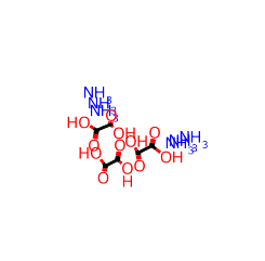 N.N.N.N.N.N.O=C(O)C(=O)O.O=C(O)C(=O)O.O=C(O)C(=O)O